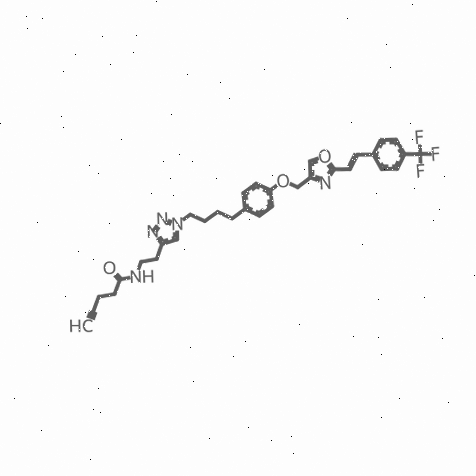 C#CCCC(=O)NCCc1cn(CCCCc2ccc(OCc3coc(/C=C/c4ccc(C(F)(F)F)cc4)n3)cc2)nn1